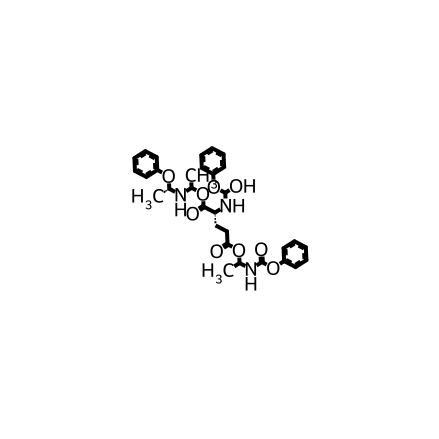 CC(NC(=O)Oc1ccccc1)OC(=O)CC[C@@H](NC(O)Oc1ccccc1)C(=O)OC(C)N[C@H](C)Oc1ccccc1